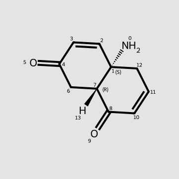 N[C@@]12C=CC(=O)C[C@H]1C(=O)C=CC2